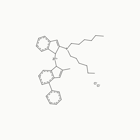 CCCCCCP(CCCCCC)C1=Cc2ccccc2[CH]1[Zr+2][CH]1C(C)=Cc2c(-c3ccccc3)cccc21.[Cl-].[Cl-]